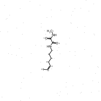 CNC(=O)C(=O)NCCCC/C=C\I